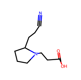 N#CCCC1CCCN1CCC(=O)O